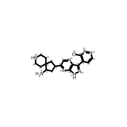 NC1CC(c2cnc3c(-c4ccnnc4Cl)n[nH]c3n2)CC12CCNCC2